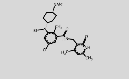 CCN(c1cc(Cl)cc(C(=O)NCc2c(C)cc(C)[nH]c2=O)c1C)[C@H]1CC[C@H](NC)CC1